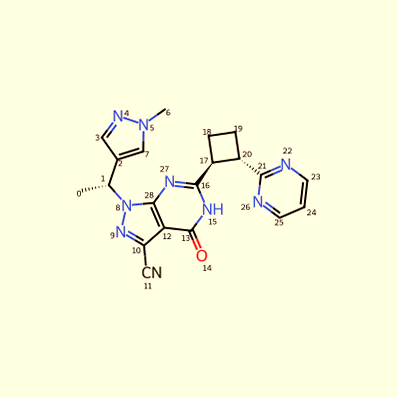 C[C@H](c1cnn(C)c1)n1nc(C#N)c2c(=O)[nH]c([C@H]3CC[C@@H]3c3ncccn3)nc21